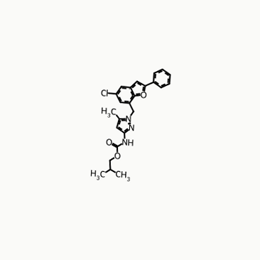 Cc1cc(NC(=O)OCC(C)C)nn1Cc1cc(Cl)cc2cc(-c3ccccc3)oc12